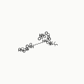 C=C/C(C)=C(\CC)Cn1ncc(-c2ccc(N3CCc4cccc(C(=O)Nc5nc6ccccc6s5)c4C3)nc2C(=O)NCCCCCCCCCCCC(=O)Nc2cccc3c(C4CCC(=O)NC4=O)nn(C)c23)c1C